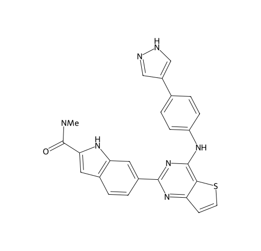 CNC(=O)c1cc2ccc(-c3nc(Nc4ccc(-c5cn[nH]c5)cc4)c4sccc4n3)cc2[nH]1